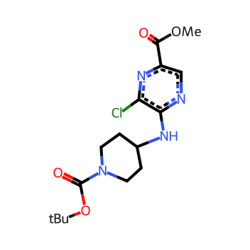 COC(=O)c1cnc(NC2CCN(C(=O)OC(C)(C)C)CC2)c(Cl)n1